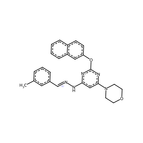 Cc1cccc(/C=N/Nc2cc(N3CCOCC3)nc(Oc3ccc4ccccc4c3)n2)c1